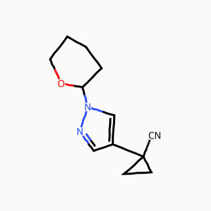 N#CC1(c2cnn(C3CCCCO3)c2)CC1